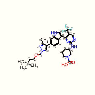 Cc1nn(COCC[Si](C)(C)C)cc1-c1ccc2c(-c3nc(N[C@H]4CCCN(C(=O)O)C4)ncc3C(F)(F)F)c[nH]c2c1